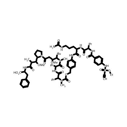 C#CP(=O)(Nc1ccc(C(=O)NC(C(=O)NC(CCCNC(N)=O)C(=O)Nc2ccc(COC(=O)N(C)C(C(=O)NC(C(=O)N(C)C(C(C)CC)C(CC(=O)N3CCCC3C(OC)C(C)C(=O)NC(Cc3ccccc3)C(=O)O)OC)C(C)C)C(C)C)cc2)C(C)C)cc1)OCC